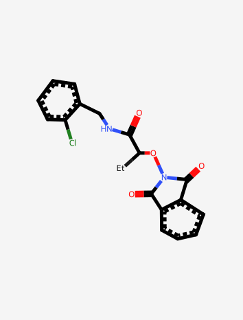 CCC(ON1C(=O)c2ccccc2C1=O)C(=O)NCc1ccccc1Cl